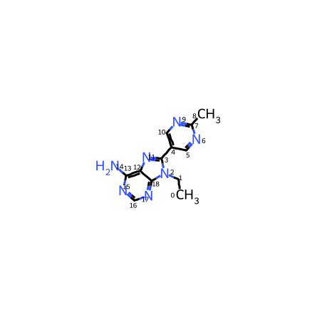 CCn1c(-c2cnc(C)nc2)nc2c(N)ncnc21